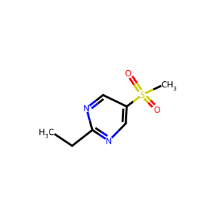 CCc1ncc(S(C)(=O)=O)cn1